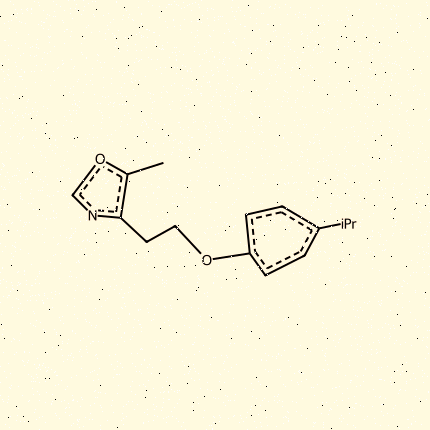 Cc1ocnc1CCOc1ccc(C(C)C)cc1